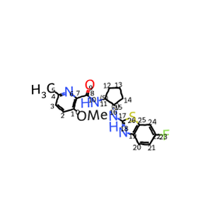 COc1ccc(C)nc1C(=O)N[C@H]1CCC[C@@H]1Nc1nc2ccc(F)cc2s1